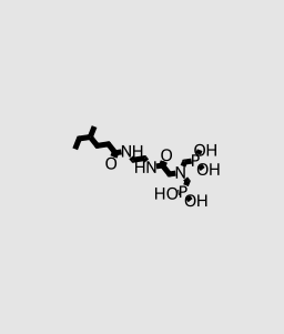 CCC(C)CCC(=O)NCCNC(=O)CN(CP(O)O)CP(O)O